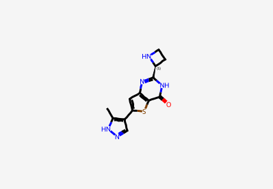 Cc1[nH]ncc1-c1cc2nc([C@@H]3CCN3)[nH]c(=O)c2s1